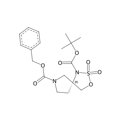 CC(C)(C)OC(=O)N1[C@@]2(CCN(C(=O)OCc3ccccc3)C2)COS1(=O)=O